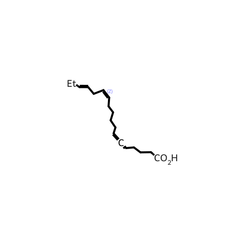 CCC=CC/C=C\CCCCC=C=CCCCC(=O)O